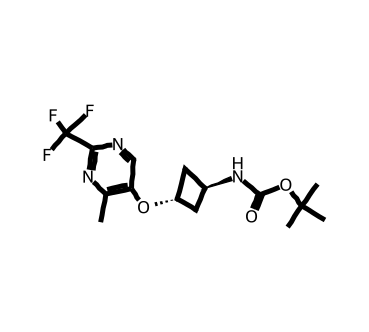 Cc1nc(C(F)(F)F)ncc1O[C@H]1C[C@H](NC(=O)OC(C)(C)C)C1